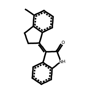 Cc1cccc2c1CCC2=C1C(=O)Nc2ccccc21